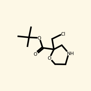 CC(C)(C)OC(=O)C1(CCl)CNCCO1